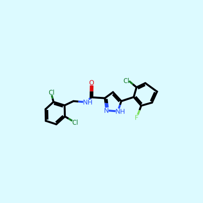 O=C(NCc1c(Cl)cccc1Cl)c1cc(-c2c(F)cccc2Cl)[nH]n1